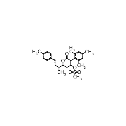 Cc1ccc(SCC(C)C2CC(OS(C)(=O)=O)=C(c3c(C)cc(C)cc3C)C(=O)O2)cc1